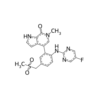 Cn1cc(-c2cc(CS(C)(=O)=O)ccc2Nc2ncc(F)cn2)c2cc[nH]c2c1=O